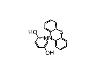 Oc1ccc(O)cc1.c1ccc2c(c1)Nc1ccccc1S2